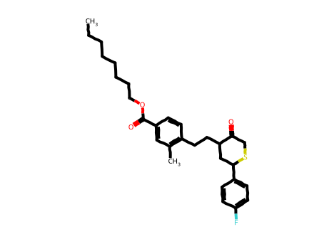 CCCCCCCCOC(=O)c1ccc(CCC2CC(c3ccc(F)cc3)SCC2=O)c(C)c1